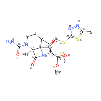 CSCC(=O)[C@@]12C3CCN(C(N)=O)[C@@H]1C(=O)N2C(C(=O)[O-])=C3CSc1nnc(C)s1.[Na+]